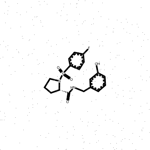 O=C(NCc1cccc(O)c1)[C@@H]1CCCN1S(=O)(=O)c1ccc(F)cc1